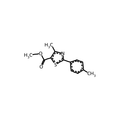 COC(=O)c1sc(-c2ccc(C)cc2)nc1C